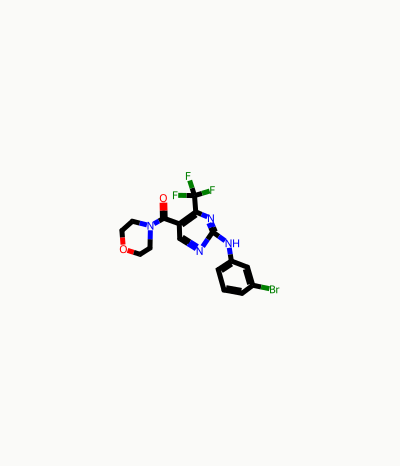 O=C(c1cnc(Nc2cccc(Br)c2)nc1C(F)(F)F)N1CCOCC1